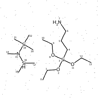 CCO[Si](CCCN)(OCC)OCC.CN([SiH](C)C)[Si](C)(C)C